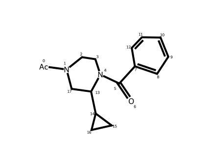 CC(=O)N1CCN(C(=O)c2ccccc2)C(C2CC2)C1